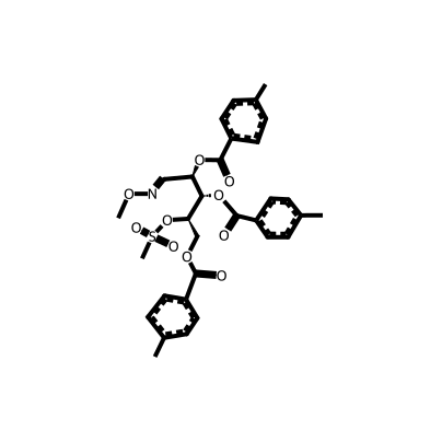 CO/N=C/[C@@H](OC(=O)c1ccc(C)cc1)[C@H](OC(=O)c1ccc(C)cc1)[C@@H](COC(=O)c1ccc(C)cc1)OS(C)(=O)=O